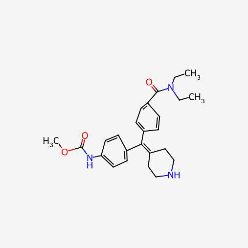 CCN(CC)C(=O)c1ccc(C(=C2CCNCC2)c2ccc(NC(=O)OC)cc2)cc1